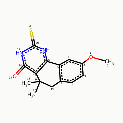 COc1ccc2c(c1)-c1[nH]c(=S)[nH]c(=O)c1C(C)(C)C2